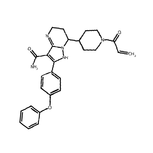 C=CC(=O)N1CCC(C2CCN=C3C(C(N)=O)=C(c4ccc(Oc5ccccc5)cc4)NN32)CC1